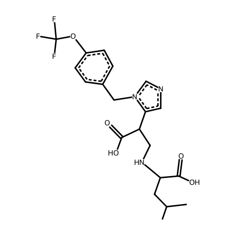 CC(C)CC(NCC(C(=O)O)c1cncn1Cc1ccc(OC(F)(F)F)cc1)C(=O)O